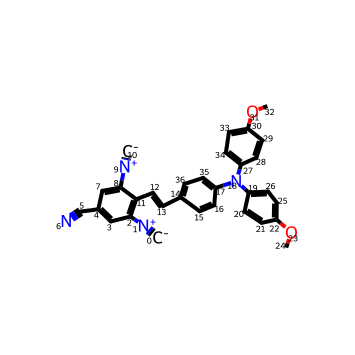 [C-]#[N+]c1cc(C#N)cc([N+]#[C-])c1C=Cc1ccc(N(c2ccc(OC)cc2)c2ccc(OC)cc2)cc1